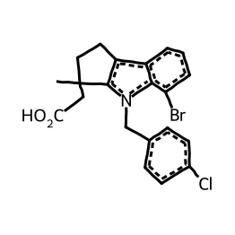 CC1(CC(=O)O)CCc2c1n(Cc1ccc(Cl)cc1)c1c(Br)cccc21